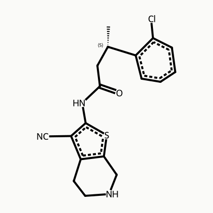 C[C@@H](CC(=O)Nc1sc2c(c1C#N)CCNC2)c1ccccc1Cl